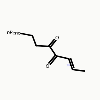 C/C=C/C(=O)C(=O)CCCCCCC